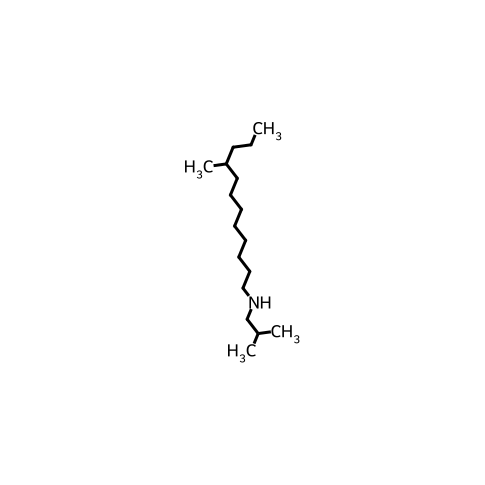 CCCC(C)CCCCCCCCNCC(C)C